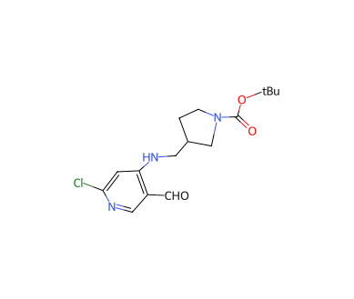 CC(C)(C)OC(=O)N1CCC(CNc2cc(Cl)ncc2C=O)C1